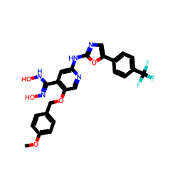 COc1ccc(COc2cnc(Nc3ncc(-c4ccc(C(F)(F)F)cc4)o3)cc2C(=NO)NO)cc1